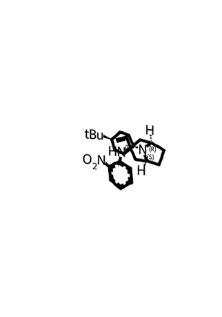 C=C[C@]1(Nc2ccccc2[N+](=O)[O-])C[C@H]2CC[C@@H](C1)N2[C@H]1CC[C@H](C(C)(C)C)CC1